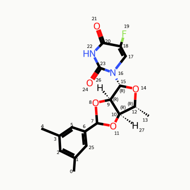 Cc1cc(C)cc(C2O[C@@H]3[C@H](O2)[C@@H](C)O[C@H]3n2cc(F)c(=O)[nH]c2=O)c1